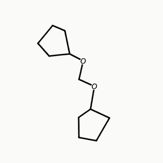 C1CCC(OCOC2CCCC2)C1